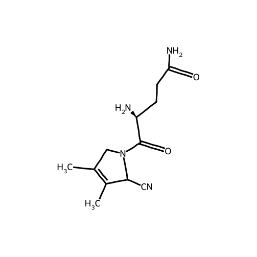 CC1=C(C)C(C#N)N(C(=O)[C@@H](N)CCC(N)=O)C1